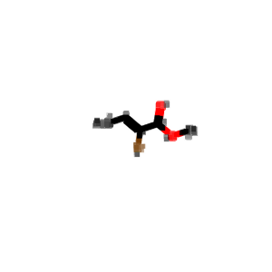 CCOC(=O)C(Br)=COC(C)=O